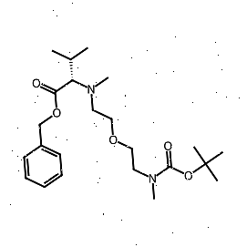 CC(C)[C@@H](C(=O)OCc1ccccc1)N(C)CCOCCN(C)C(=O)OC(C)(C)C